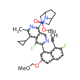 C#Cc1c(F)ccc2cc(OCOC)cc(-c3ncc4c(N5CC6CCC(C5)N6C(=O)OC(C)(C)C)nc(C)c(C5CC5)c4c3F)c12